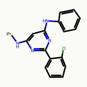 CC(C)Nc1cc(Nc2ccccc2)nc(-c2ccccc2Cl)n1